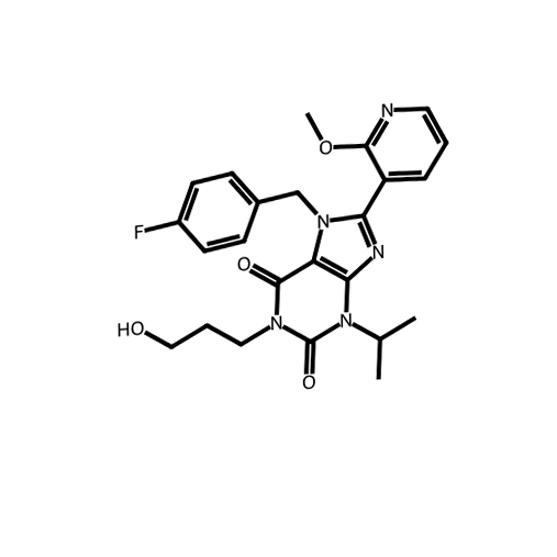 COc1ncccc1-c1nc2c(c(=O)n(CCCO)c(=O)n2C(C)C)n1Cc1ccc(F)cc1